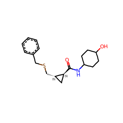 O=C(NC1CCC(O)CC1)[C@H]1C[C@@H]1CSCc1ccccc1